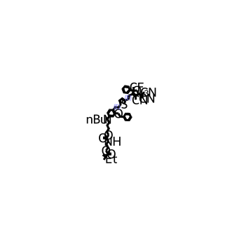 CCCCN(CCCCOC(=O)NCCOC(=O)C(C)(C)CC)c1ccc(/C=C/c2ccc(/C=C/C3=C(C#N)C(=C(C#N)C#N)OC3(c3ccccc3)C(F)(F)F)s2)c(OCc2ccccc2)c1